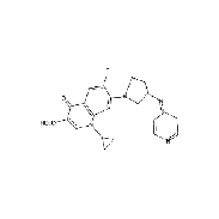 O=C(O)c1cn(C2CC2)c2cc(N3CCC(N=C4C=CN=CC4)C3)c(F)cc2c1=O